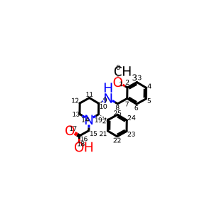 COc1ccccc1CN[C@H]1CCCN(CC(=O)O)[C@H]1c1ccccc1